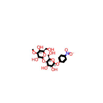 CO[C@H]1[C@@H](O)[C@@H](CO)O[C@@H](O[C@H]2[C@H](O)[C@@H](O)[C@H](Oc3ccc([N+](=O)[O-])cc3)O[C@@H]2CO)[C@@H]1O